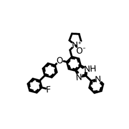 [O-][N+]1(Cc2cc3[nH]c(-c4ccccn4)nc3cc2Oc2ccc(-c3ccccc3F)cc2)CCCC1